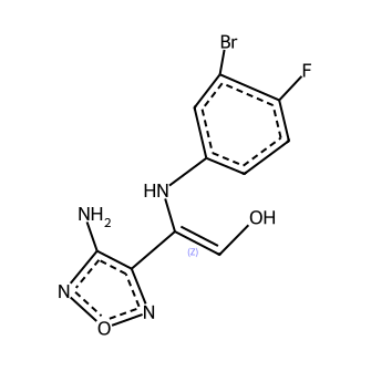 Nc1nonc1/C(=C/O)Nc1ccc(F)c(Br)c1